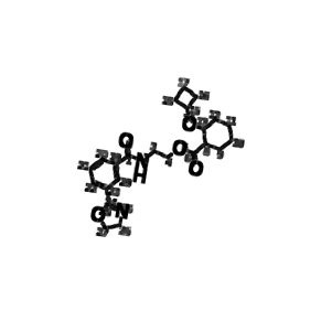 O=C(NCCOC(=O)C1CCCCC1OC1CCC1)c1cccc(C2=NCCO2)c1